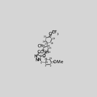 COc1ccc(Cn2nnc(C(=O)O)c2Oc2ccc(-c3ccc(OC(F)(F)F)cc3)c(Cl)c2)cc1